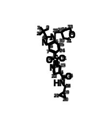 CC(C)(C)c1nc2cc(S(=O)(=O)n3cc(C(=O)NCC4CC4)cn3)ccc2n1CC1CCOCC1